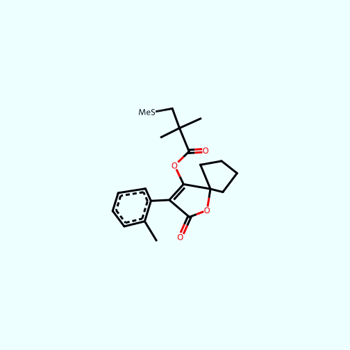 CSCC(C)(C)C(=O)OC1=C(c2ccccc2C)C(=O)OC12CCCC2